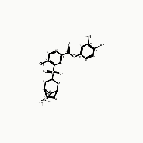 C[C@H]1CC2CC(S(=O)(=O)c3cc(C(=O)Nc4ccc(F)c(Cl)c4)ccc3Cl)CC1[C@]2(C)O